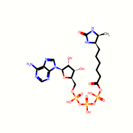 C[C@@H]1NC(=O)N[C@@H]1CCCCCC(=O)OP(=O)(O)OP(=O)(O)OP(=O)(O)OC[C@H]1O[C@@H](n2cnc3c(N)ncnc32)[C@H](O)[C@@H]1O